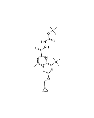 Cc1cc(C(=O)NNC(=O)OC(C)(C)C)nc2c(C(C)(C)C)cc(OCC3CC3)cc12